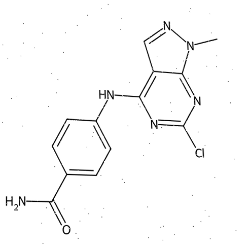 Cn1ncc2c(Nc3ccc(C(N)=O)cc3)nc(Cl)nc21